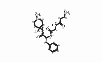 CC(=O)C1(NC(=O)[C@H](Cc2ccccc2)NC(=O)CNC(=O)CCN)CCN(C)CC1